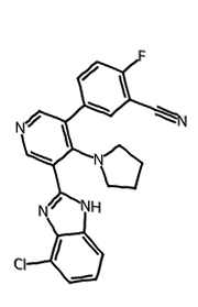 N#Cc1cc(-c2cncc(-c3nc4c(Cl)cccc4[nH]3)c2N2CCCC2)ccc1F